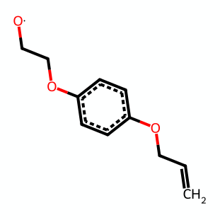 C=CCOc1ccc(OCC[O])cc1